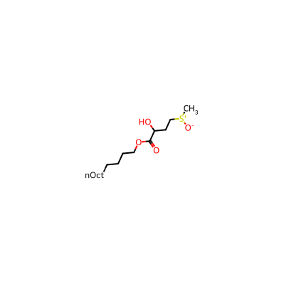 CCCCCCCCCCCCOC(=O)C(O)CC[S+](C)[O-]